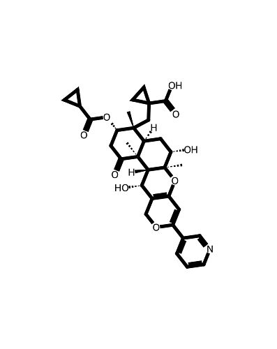 C[C@]1(CC2(C(=O)O)CC2)[C@@H](OC(=O)C2CC2)CC(=O)[C@@]2(C)[C@@H]1C[C@H](O)[C@@]1(C)OC3=C(COC(c4cccnc4)=C3)[C@H](O)[C@@H]12